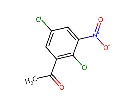 CC(=O)c1cc(Cl)cc([N+](=O)[O-])c1Cl